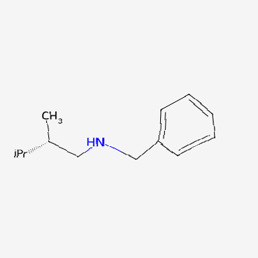 CC(C)[C@H](C)CNCc1ccccc1